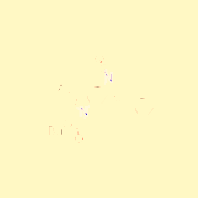 CC(=O)c1cn(CC(=O)OC(C)(C)C)c2cc(OCc3ccccc3)c(N=C=O)cc12